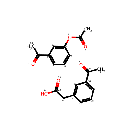 CC(=O)Oc1cccc(C(C)=O)c1.CC(=O)c1cccc(CC(=O)O)c1